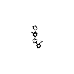 COc1ccccc1-c1noc(-c2ccc(N3CCCCC3)c(C)c2)n1